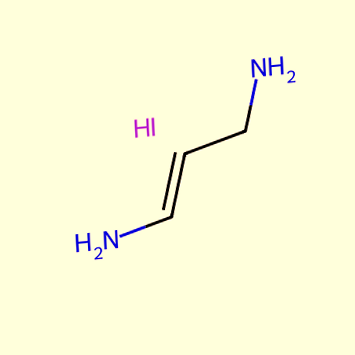 I.NC=CCN